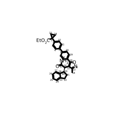 CCOC(=O)C1(c2ccc(-c3ccc(-c4onc(C)c4C(C(N)=O)[C@H]4CCc5ccccc54)cc3)cc2)CC1